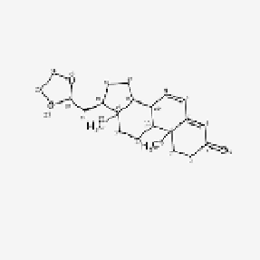 CC12CCC(=O)C=C1C=CC1C2CCC2(C)C1CC[C@@H]2CC1OCCO1